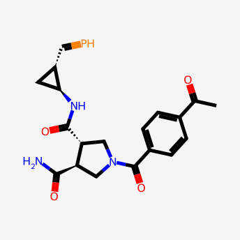 CC(=O)c1ccc(C(=O)N2C[C@@H](C(N)=O)[C@H](C(=O)N[C@H]3C[C@@H]3C=P)C2)cc1